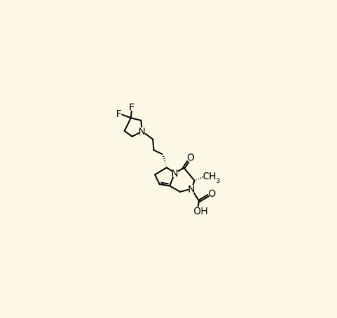 C[C@H]1C(=O)N2C(=CC[C@@H]2CCCN2CCC(F)(F)C2)CN1C(=O)O